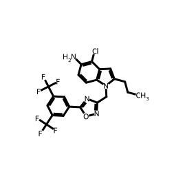 CCCc1cc2c(Cl)c(N)ccc2n1Cc1noc(-c2cc(C(F)(F)F)cc(C(F)(F)F)c2)n1